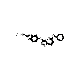 CC(=O)Nc1nc2ccc(Sc3nnc4ccc(OC5CCCCC5)nn34)cc2s1